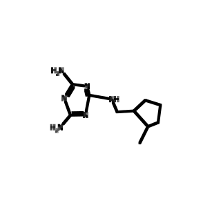 CC1CCCC1CNc1nc(N)nc(N)n1